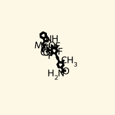 COc1c(F)c(F)c(C#Cc2ccc(C(N)=O)cc2C)c(F)c1C(=O)NC(CC#N)Cc1c[nH]c2ccccc12